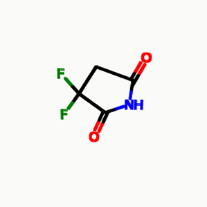 O=C1CC(F)(F)C(=O)N1